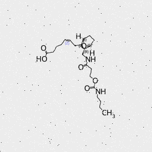 CCCCNC(=O)OCCC(=O)NC[C@H]1[C@@H](C/C=C\CCCC(=O)O)[C@H]2CC[C@@H]1O2